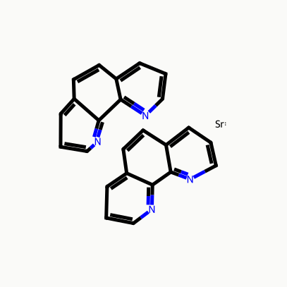 [Sr].c1cnc2c(c1)ccc1cccnc12.c1cnc2c(c1)ccc1cccnc12